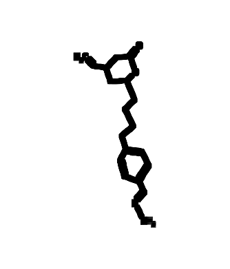 C=CC1CC(=O)OC(CCCCc2ccc(C=NN)cc2)C1